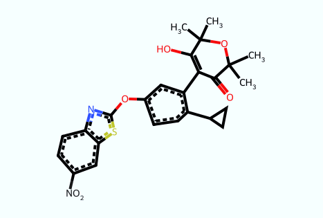 CC1(C)OC(C)(C)C(O)=C(c2cc(Oc3nc4ccc([N+](=O)[O-])cc4s3)ccc2C2CC2)C1=O